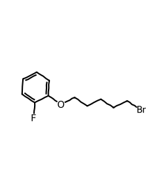 Fc1ccccc1OCCCCCBr